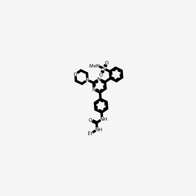 CCNC(=O)Nc1ccc(-c2cc(-c3ccccc3S(=O)(=O)NC)nc(N3CCOCC3)n2)cc1